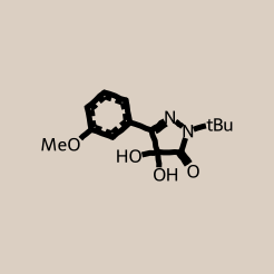 COc1cccc(C2=NN(C(C)(C)C)C(=O)C2(O)O)c1